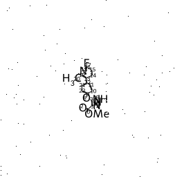 COC(=O)c1nn[nH]c1Oc1ccc(-c2ccc(F)nc2C)cc1